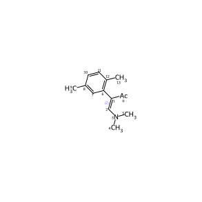 CC(=O)/C(=C\N(C)C)c1cc(C)ccc1C